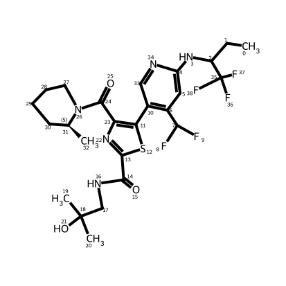 CCC(Nc1cc(C(F)F)c(-c2sc(C(=O)NCC(C)(C)O)nc2C(=O)N2CCCC[C@@H]2C)cn1)C(F)(F)F